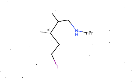 CCCNCC(C)[C@@H](C)CCI